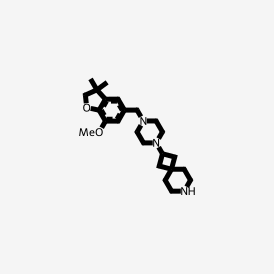 COc1cc(CN2CCN(C3CC4(CCNCC4)C3)CC2)cc2c1OCC2(C)C